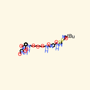 CC(C)(C)c1cnc(CSc2cnc(NC(=O)C3CCN(CC(=O)NCCOCCOCCOCCNc4cccc5c4C(=O)N(C4CCC(=O)NC4=O)C5=O)CC3)s2)o1